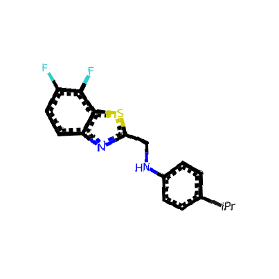 CC(C)c1ccc(NCc2nc3ccc(F)c(F)c3s2)cc1